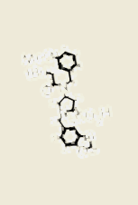 COc1cccc(CN(C(=O)CC(C)(C)C)[C@@H]2C[C@@H](C(=O)O)N(Cc3ccc4c(c3)OCO4)C2)c1